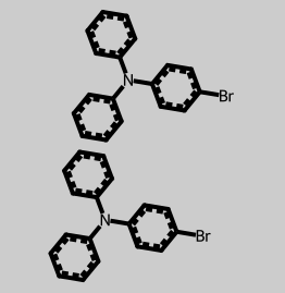 Brc1ccc(N(c2ccccc2)c2ccccc2)cc1.Brc1ccc(N(c2ccccc2)c2ccccc2)cc1